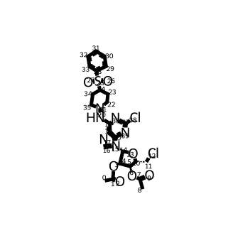 CC(=O)O[C@@H]1[C@H](OC(C)=O)[C@@H](CCl)O[C@H]1n1cnc2c(NN3CCC(S(=O)(=O)c4ccccc4)CC3)nc(Cl)nc21